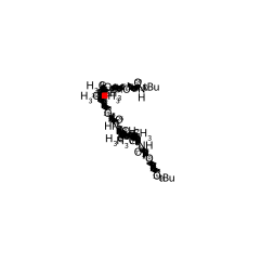 CC(C)(CCNC(=O)CCOCCCCOC(C)(C)C)CCC(C)(C)CCNC(=O)CCOCCCCC(C)(C)CC(C)(C)OCCCCOCCC(=O)NC(C)(C)C